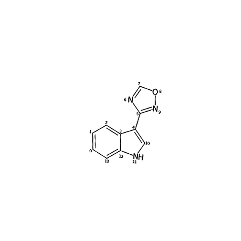 c1ccc2c(-c3ncon3)c[nH]c2c1